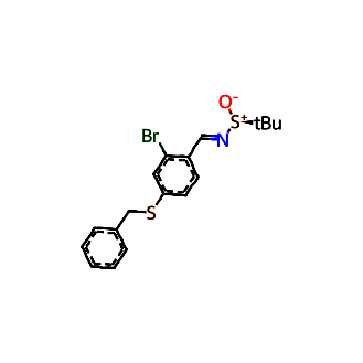 CC(C)(C)[S@+]([O-])N=Cc1ccc(SCc2ccccc2)cc1Br